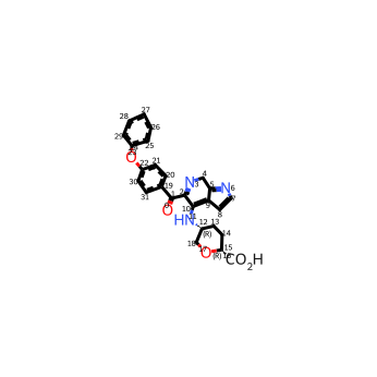 O=C(C1=NCC2=NC=CC2=C1N[C@@H]1CC[C@H](C(=O)O)OC1)c1ccc(Oc2ccccc2)cc1